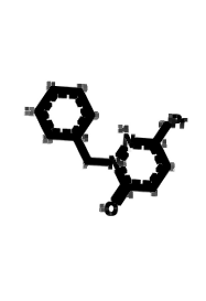 CC(C)c1ccc(=O)n(Cc2ccccc2)n1